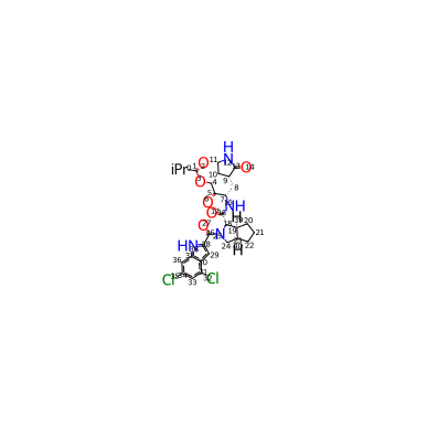 CC(C)C(=O)OCC(=O)[C@H](C[C@@H]1CCNC1=O)NC(=O)[C@@H]1[C@H]2CCC[C@H]2CN1C(=O)c1cc2c(Cl)cc(Cl)cc2[nH]1